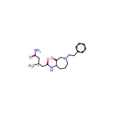 C[C@@H](CC(N)=O)CC(=O)NC1CCCN(CCc2ccccc2)CC1=O